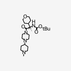 CN1CCC(N2CCN(C(=O)[C@](C)(NC(=O)OC(C)(C)C)C3CCOCC3)CC2)CC1